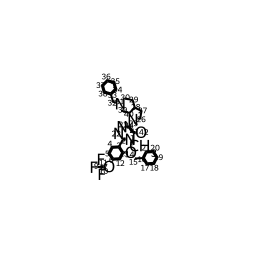 Cn1c(-c2ccc(OC(F)(F)F)cc2OCc2ccccc2)nnc(N2CCC3CCN(Cc4ccccc4)CC32)c1=O